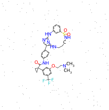 CN(C)CCOc1cc(C(F)(F)F)cc(C2(C(=O)Nc3ccc(-c4cnc5nc4NCCCNS(=O)(=O)c4cccc(c4)N5)cc3)CC2)c1